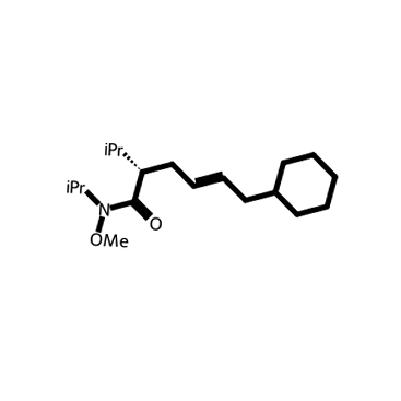 CON(C(=O)[C@@H](CC=CCC1CCCCC1)C(C)C)C(C)C